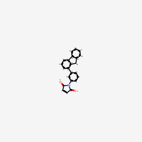 O=C1C=CC(=O)N1c1cccc(-c2cccc3c2Cc2ccccc2-3)c1